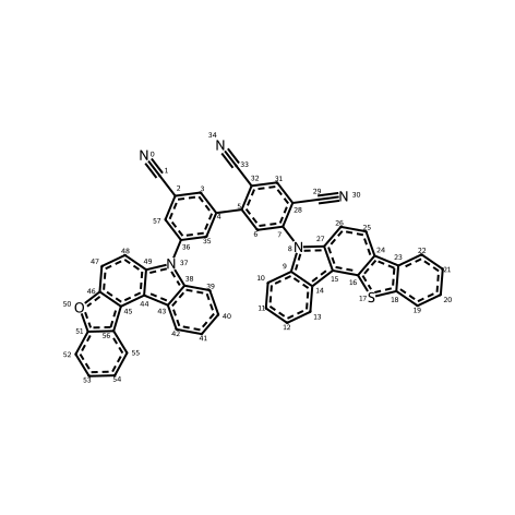 N#Cc1cc(-c2cc(-n3c4ccccc4c4c5sc6ccccc6c5ccc43)c(C#N)cc2C#N)cc(-n2c3ccccc3c3c4c(ccc32)oc2ccccc24)c1